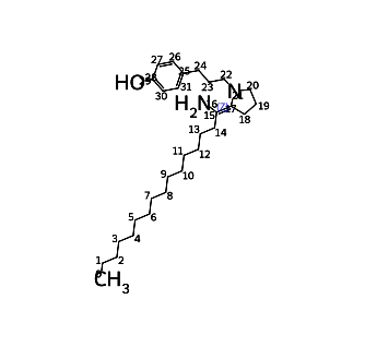 CCCCCCCCCCCCCCC/C(N)=C1\CCCN1CCCc1ccc(O)cc1